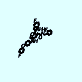 O=C(CN(CC(=O)Nc1ccc(Oc2ccc(F)cc2)cc1)C(=O)c1cc2cc(F)ccc2[nH]1)NCc1ccccc1F